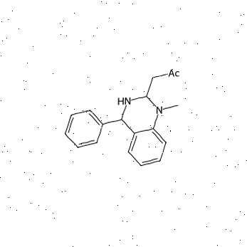 CC(=O)CC1NC(c2ccccc2)c2ccccc2N1C